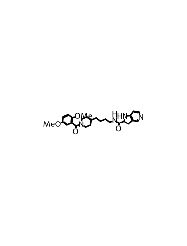 COc1ccc(OC)c(C(=O)N2CCC(CCCCNC(=O)C3Cc4cnccc4N3)CC2)c1